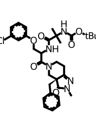 CN1N=C2CCN(C(=O)C(COc3cccc(Cl)c3)NC(=O)C(C)(C)NC(=O)OC(C)(C)C)C[C@@]2(Cc2ccccc2)C1=O